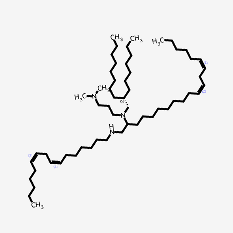 CCCCC/C=C\C/C=C\CCCCCCCCC(CNCCCCCC/C=C\C/C=C\CCCCC)N(CCCN(C)C)C[C@@H](CCCCCCC)CCCCCCCC